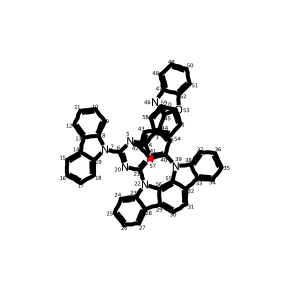 c1ccc(-c2nc(-n3c4ccccc4c4ccccc43)nc(-n3c4ccccc4c4ccc5c6ccccc6n(-c6cccc(-c7nc8ccccc8o7)c6)c5c43)n2)cc1